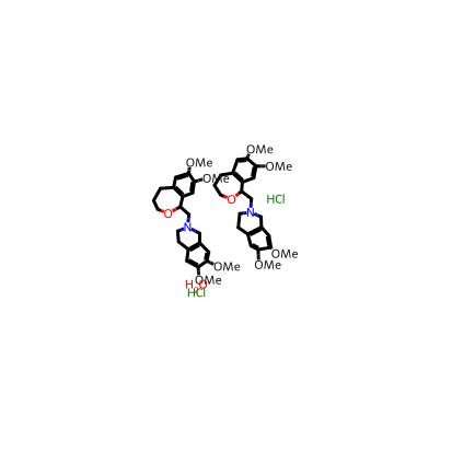 COc1cc2c(cc1OC)CN(CC1OCCCc3cc(OC)c(OC)cc31)CC2.COc1cc2c(cc1OC)CN(CC1OCCCc3cc(OC)c(OC)cc31)CC2.Cl.Cl.O